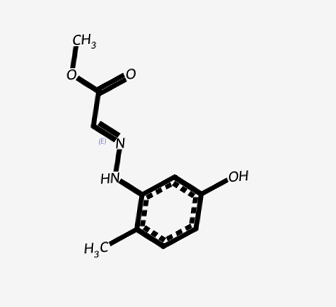 COC(=O)/C=N/Nc1cc(O)ccc1C